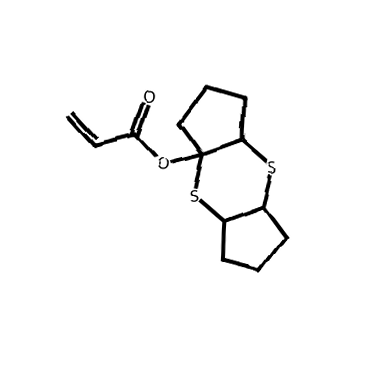 C=CC(=O)OC12CCCC1SC1CCCC1S2